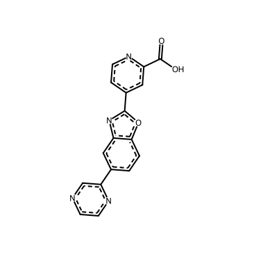 O=C(O)c1cc(-c2nc3cc(-c4cnccn4)ccc3o2)ccn1